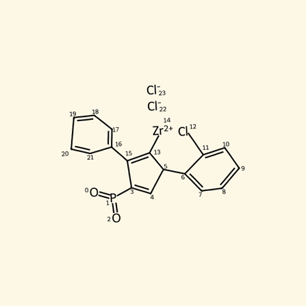 O=P(=O)C1=CC(c2ccccc2Cl)[C]([Zr+2])=C1c1ccccc1.[Cl-].[Cl-]